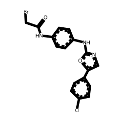 O=C(CBr)Nc1ccc(Nc2ncc(-c3ccc(Cl)cc3)o2)cc1